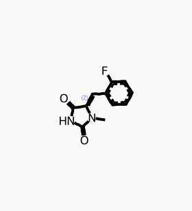 CN1C(=O)NC(=O)/C1=C/c1ccccc1F